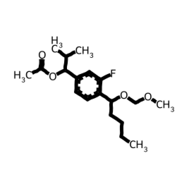 CCCCC(OCOC)c1ccc(C(OC(C)=O)C(C)C)cc1F